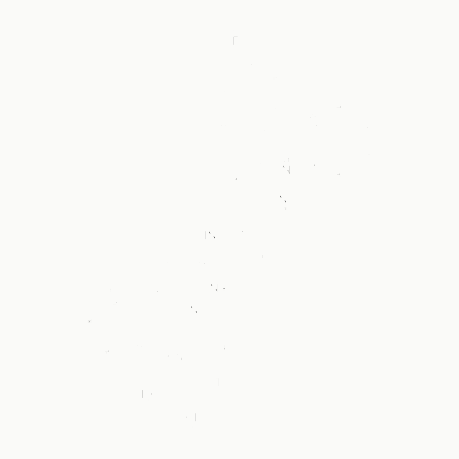 CC(C)(C)OC(=O)n1nc(NC(=O)c2cc(-c3ccc(F)cc3)n(C3CCCCO3)n2)cc1-c1cccs1